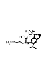 CN(C)c1cc2cccc(S(N)(=O)=O)c2cc1N[C@@H](CCCCN)C(=O)O